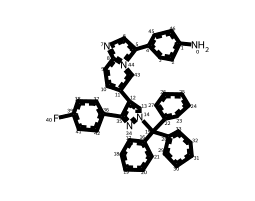 Nc1ccc(-c2cnc3ccc(-c4cn(C(c5ccccc5)(c5ccccc5)c5ccccc5)nc4-c4ccc(F)cc4)cn23)cc1